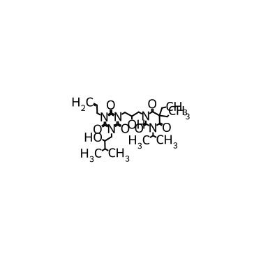 C=CCn1c(=O)n(CC(O)CN2C(=O)N(C(C)C)C(=O)C(CC)(CC)C2=O)c(=O)n(CC(O)C(C)C)c1=O